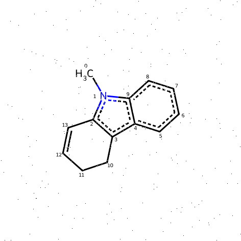 Cn1c2c(c3ccccc31)CCC=C2